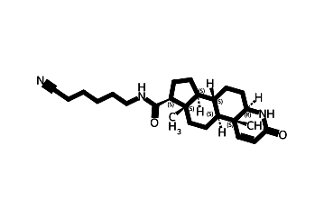 C[C@]12C=CC(=O)N[C@@H]1CC[C@@H]1[C@@H]2CC[C@]2(C)[C@@H](C(=O)NCCCCCC#N)CC[C@@H]12